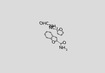 N#Cc1ccco1.NC(=O)c1cc2ccccc2o1.NC=O